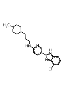 CN1CCC(CCCNc2ccc(-c3nc4c(Cl)cccc4[nH]3)cn2)CC1